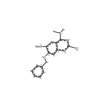 COc1cc2c(N(C)C)nc(Cl)nc2cc1OCc1ccccc1